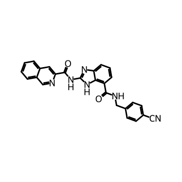 N#Cc1ccc(CNC(=O)c2cccc3nc(NC(=O)c4cc5ccccc5cn4)[nH]c23)cc1